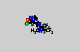 Cn1nc(C(F)(F)C(F)(F)F)c(C(F)(F)F)c1-n1cc(C2SC(Cl)=C(C(N)=O)N2C2CC2)cn1